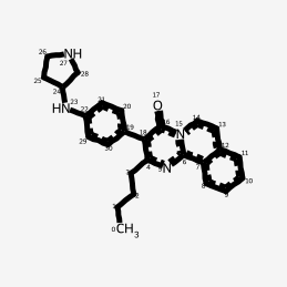 CCCCc1nc2c3ccccc3ccn2c(=O)c1-c1ccc(NC2CCNC2)cc1